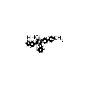 CN1CCC(C2CCN(C(=O)[C@@H](Cc3ccccc3)NC(=O)c3ccc4cc[nH]c4c3)CC2)CC1.Cl